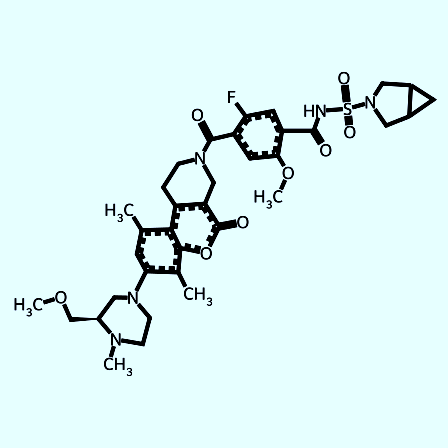 COC[C@H]1CN(c2cc(C)c3c4c(c(=O)oc3c2C)CN(C(=O)c2cc(OC)c(C(=O)NS(=O)(=O)N3CC5CC5C3)cc2F)CC4)CCN1C